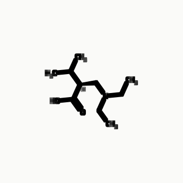 CCN(CC)C[C@@H](C(=O)O)C(C)C